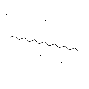 BCCCCCCCCCCCCOC(F)(F)F